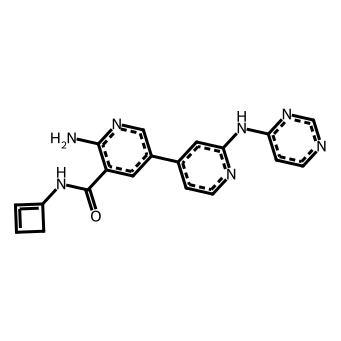 Nc1ncc(-c2ccnc(Nc3ccncn3)c2)cc1C(=O)NC1=C=CC1